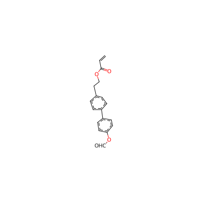 C=CC(=O)OCCc1ccc(-c2ccc(OC=O)cc2)cc1